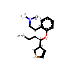 CNCC[C@@H](Oc1ccccc1CCN(C)C)C1C=CSC1